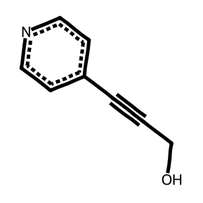 OCC#Cc1ccncc1